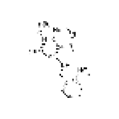 CCCCOn1c(=O)cc(NCc2ccccc2[N+](=O)[O-])c2c(C)ncnc21